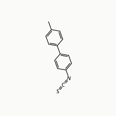 Cc1ccc(-c2ccc(N=C=S)cc2)cc1